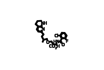 CC(CCc1ccc2c(n1)NCCC2)COCCC(NC(=O)c1c(F)cccc1Cl)C(=O)O